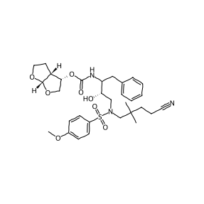 COc1ccc(S(=O)(=O)N(C[C@H](O)C(Cc2ccccc2)NC(=O)O[C@@H]2CO[C@@H]3OCC[C@@H]32)CC(C)(C)CCC#N)cc1